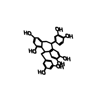 Oc1cc(O)cc(CC2c3cc(O)c(O)cc3C(c3ccc(O)c(O)c3)Cc3cc(O)cc(O)c32)c1